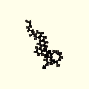 C\C=C/C=C\C=C(/C)c1ccc2c(c1)-c1cc(-c3ccccc3N(C)c3nc4c5c(cc(C#N)cc5n3)SC(C)/C=C\C=C/C4)ccc1C2